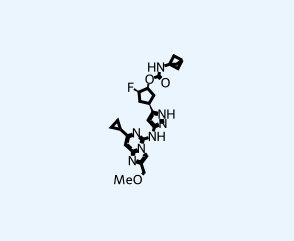 COCc1cn2c(Nc3cc([C@H]4C[C@@H](F)[C@@H](OC(=O)NC56CC(C5)C6)C4)[nH]n3)nc(C3CC3)cc2n1